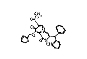 COC(=O)c1cn2c(c(OCc3ccccc3)c1=O)C(=O)N(C)[C@H](C(c1ccccc1)c1ccccc1)C2